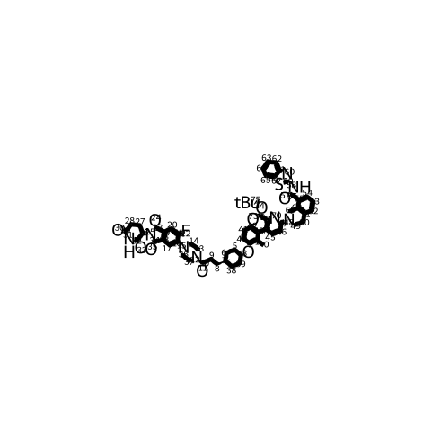 Cc1c(O[C@H]2CC[C@H](CCC(=O)N3CCN(c4cc5c(cc4F)C(=O)N(C4CCC(=O)NC4=O)C5=O)CC3)CC2)cccc1-c1ccc(N2CCc3cccc(C(=O)Nc4nc5ccccc5s4)c3C2)nc1C(=O)OC(C)(C)C